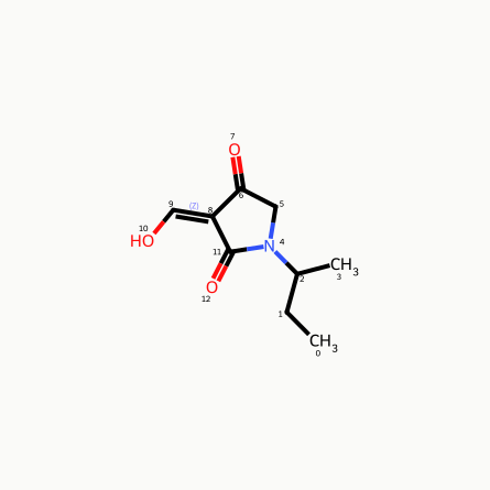 CCC(C)N1CC(=O)/C(=C/O)C1=O